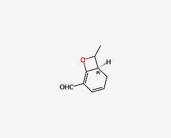 CC1OC2=C(C=O)C=CC[C@@H]21